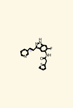 O=C(Cc1cccs1)Nc1cc2c(/C=C/c3cccnc3)n[nH]c2cc1F